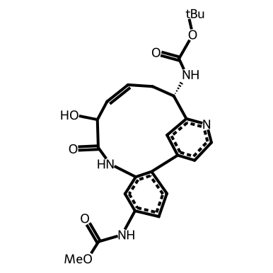 COC(=O)Nc1ccc2c(c1)NC(=O)C(O)C=CC[C@H](NC(=O)OC(C)(C)C)c1cc-2ccn1